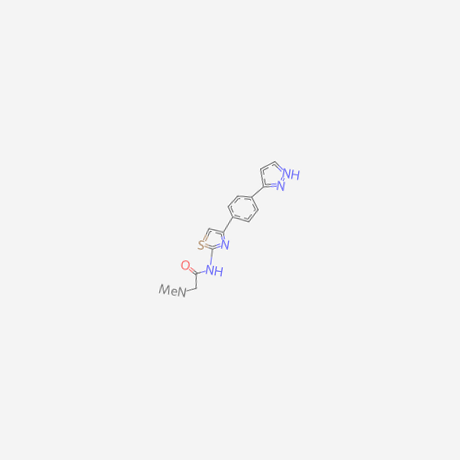 CNCC(=O)Nc1nc(-c2ccc(-c3cc[nH]n3)cc2)cs1